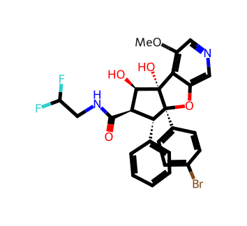 COc1cncc2c1[C@]1(O)[C@H](O)[C@H](C(=O)NCC(F)F)[C@@H](c3ccccc3)[C@]1(c1ccc(Br)cc1)O2